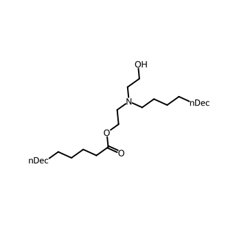 CCCCCCCCCCCCCCC(=O)OCCN(CCO)CCCCCCCCCCCCCC